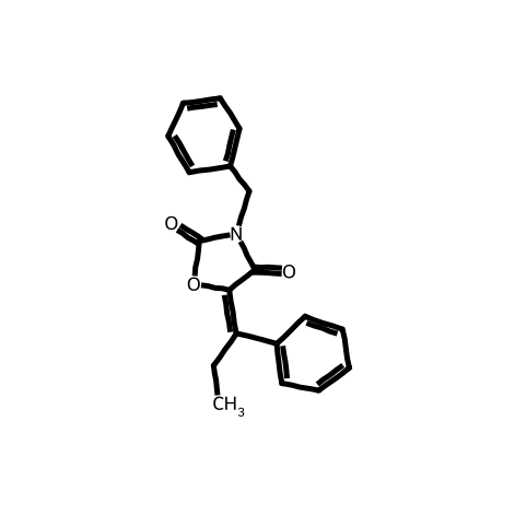 CC/C(=C1\OC(=O)N(Cc2ccccc2)C1=O)c1ccccc1